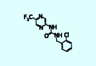 O=C(NCc1ccccc1Cl)Nc1cnc(C(F)(F)F)cn1